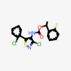 CC(OC(=O)Nc1c(Cl)nsc1-c1ccccc1Cl)c1ccccc1F